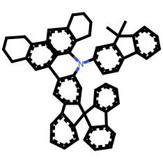 CC1(C)c2ccccc2-c2ccc(N(c3cc4c(cc3-c3ccc5c(c3)CCCC5)-c3ccccc3C43c4ccccc4-c4ccccc43)c3cccc4c3CCCC4)cc21